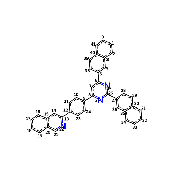 c1ccc2cc(-c3cc(-c4ccc(-c5cc6ccccc6cn5)cc4)nc(-c4ccc5ccccc5c4)n3)ccc2c1